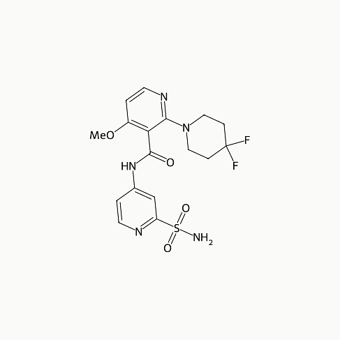 COc1ccnc(N2CCC(F)(F)CC2)c1C(=O)Nc1ccnc(S(N)(=O)=O)c1